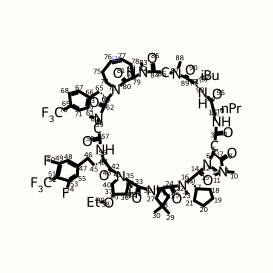 CCC[C@@H]1NC(=O)C[C@@H](C(=O)N(C)C)N(C)C(=O)[C@H](C2CCCC2)N(C)C(=O)C2(CC(C)(C)C2)NC(=O)[C@@H]2C[C@@H](OCC)CN2C(=O)[C@H](CCc2cc(F)c(C(F)(F)F)c(F)c2)NC(=O)CN(C)C(=O)[C@H](Cc2ccc(C(F)(F)F)cc2)N2CC/C=C\C[C@@H](C2=O)N(C)C(=O)CN(C)C(=O)[C@H]([C@@H](C)CC)NC1=O